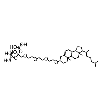 CC(C)CCCC(C)C1CCC2C3CC=C4CC(OCCOCCOCCOCC(O)(OP(O)O)OP(O)O)CCC4(C)C3CCC12C